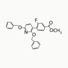 COC(=O)c1ccc(-c2ccc(OCc3ccccc3)nc2OCc2ccccc2)c(F)c1